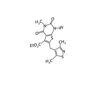 CCOC(=O)c1c(Cc2c(C)nsc2C)sc2c1c(=O)n(C)c(=O)n2C(C)C